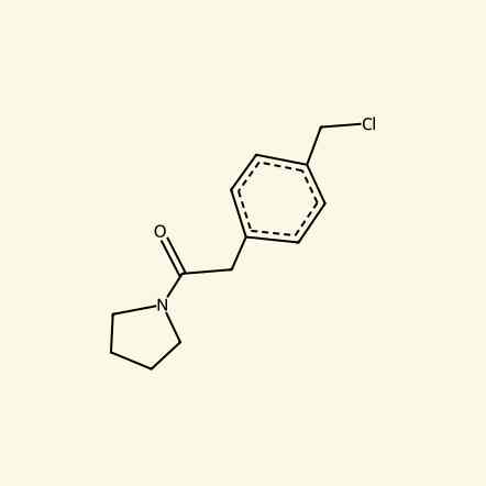 O=C(Cc1ccc(CCl)cc1)N1CCCC1